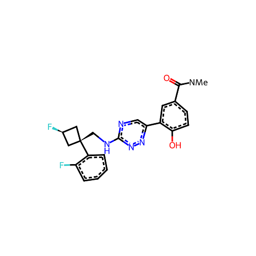 CNC(=O)c1ccc(O)c(-c2cnc(NC[C@]3(c4ccccc4F)C[C@H](F)C3)nn2)c1